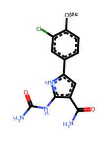 COc1ccc(-c2cc(C(N)=O)c(NC(N)=O)[nH]2)cc1Cl